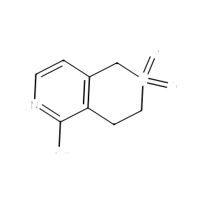 Cc1nccc2c1CCS(=O)(=O)C2